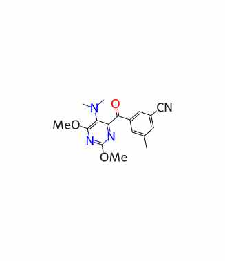 COc1nc(OC)c(N(C)C)c(C(=O)c2cc(C)cc(C#N)c2)n1